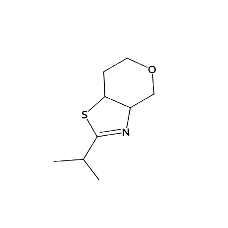 CC(C)C1=NC2COCCC2S1